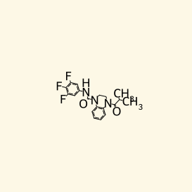 CC(C)C(=O)N1CCN(C(=O)Nc2cc(F)c(F)c(F)c2)c2ccccc21